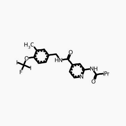 Cc1cc(CNC(=O)c2ccnc(NC(=O)C(C)C)c2)ccc1OC(F)(I)I